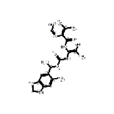 CCCC/C=N\C(C(=O)N/C(NC(=O)OC(C)c1cc2c(cc1[N+](=O)[O-])BCO2)=C(/C)CC)=C(C)C